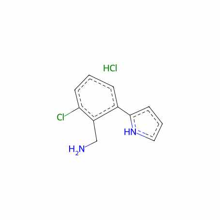 Cl.NCc1c(Cl)cccc1-c1ccc[nH]1